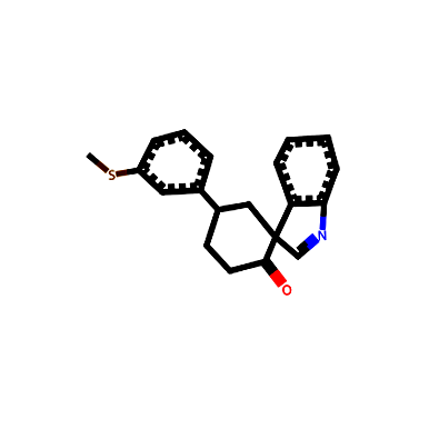 CSc1cccc(C2CCC(=O)C3(C=Nc4ccccc43)C2)c1